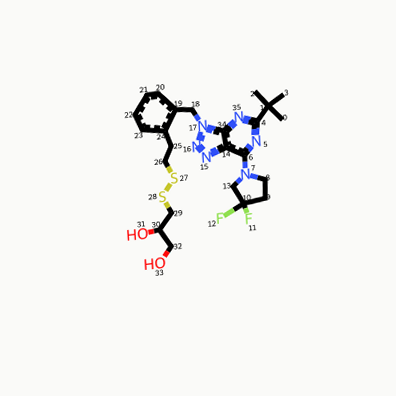 CC(C)(C)c1nc(N2CCC(F)(F)C2)c2nnn(Cc3ccccc3CCSSCC(O)CO)c2n1